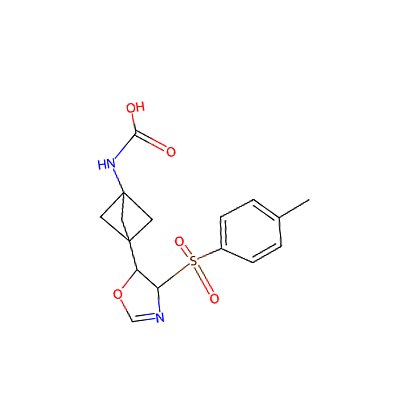 Cc1ccc(S(=O)(=O)C2N=COC2C23CC(NC(=O)O)(C2)C3)cc1